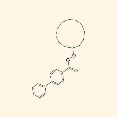 O=C(OO[C]1CCCCCCCCCCC1)c1ccc(-c2ccccc2)cc1